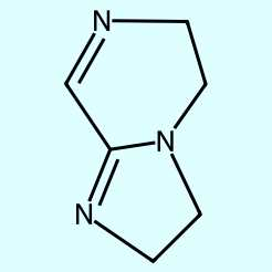 C1=NCCN2CCN=C12